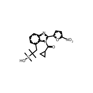 CC(C)(Cc1cccc2nc(-c3ccc([N+](=O)[O-])o3)n(C(=O)C3CC3)c12)[Si](C)(C)O